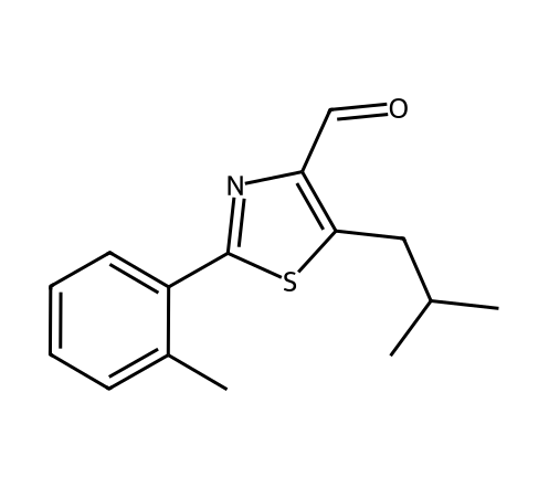 Cc1ccccc1-c1nc(C=O)c(CC(C)C)s1